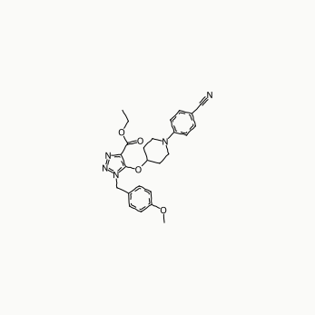 CCOC(=O)c1nnn(Cc2ccc(OC)cc2)c1OC1CCN(c2ccc(C#N)cc2)CC1